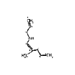 C=CCNC=C(C)CCC